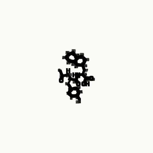 CC(=O)N[C@@H](Cc1ccc(I)cc1)C(=O)N[C@@H](Cc1ccc2ccccc2c1)C(=O)O